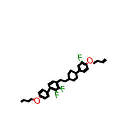 C=CCCOc1ccc(C2CCC(CCc3ccc(-c4ccc(OCCCC)cc4)c(F)c3F)CC2)cc1F